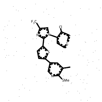 CSc1ncc(-c2ccc(-c3nc(C(F)(F)F)cn3-c3ccccc3Cl)s2)cc1C